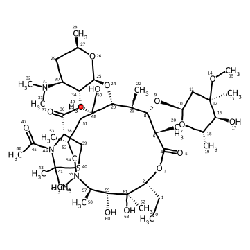 CC[C@H]1OC(=O)[C@H](C)[C@@H](O[C@H]2C[C@@](C)(OC)[C@@H](O)[C@H](C)O2)[C@H](C)[C@@H](O[C@@H]2O[C@H](C)C[C@H](N(C)C)[C@H]2OC(=O)[C@@H]2CSC(C)(C)N2C(C)=O)[C@](C)(O)C[C@@H](C)CN(C)[C@H](C)[C@@H](O)[C@]1(C)O